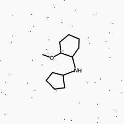 COC1CCCCC1NC1CCCC1